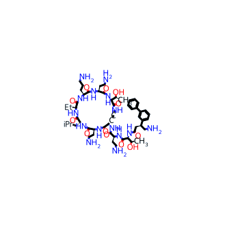 CC[C@@H]1NC(=O)[C@@H](CC(C)C)NC(=O)[C@H](CCN)NC(=O)[C@@H](NC(=O)[C@H](CCN)NC(=O)[C@@H](NC(=O)C[C@H](CN)c2cccc(-c3ccccc3)c2)[C@@H](C)O)CCNC(=O)[C@H]([C@@H](C)O)NC(=O)[C@H](CCN)NC(=O)[C@H](CCCN)NC1=O